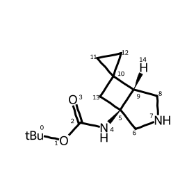 CC(C)(C)OC(=O)N[C@]12CNC[C@H]1C1(CC1)C2